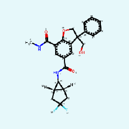 CNC(=O)c1cc(C(=O)N[C@H]2[C@@H]3CC(F)(F)C[C@@H]32)cc2c1OCC2(CO)c1ccccc1